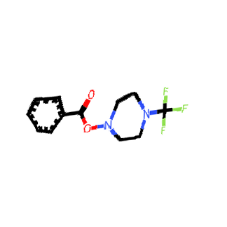 O=C(ON1CCN(C(F)(F)F)CC1)c1ccccc1